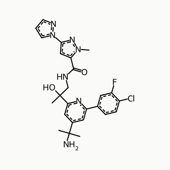 Cn1nc(-n2cccn2)cc1C(=O)NCC(C)(O)c1cc(C(C)(C)N)cc(-c2ccc(Cl)c(F)c2)n1